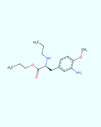 CCCN[C@@H](Cc1ccc(OC)c(N)c1)C(=O)OCCC